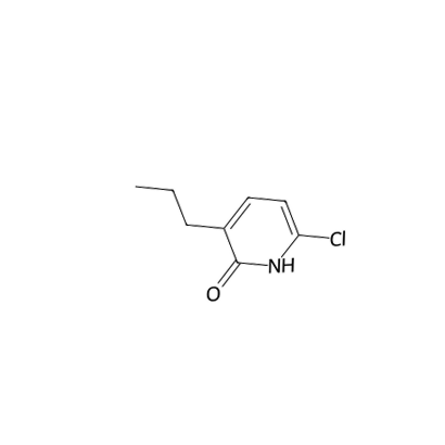 CCCc1ccc(Cl)[nH]c1=O